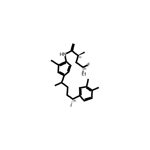 C=C(Nc1ccc(C(C)CC[C@@H](C)c2ccc(C)c(C)c2)cc1C)[C@@H](C)C[C@H](F)CC